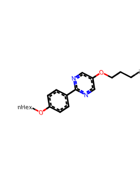 CCCCCCOc1ccc(-c2ncc(OCCCC(C)CC)cn2)cc1